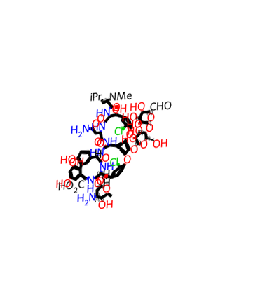 CN[C@H](CC(C)C)C(=O)NC1C(=O)NC(CC(N)=O)C(=O)NC2C(=O)N[C@H]3C(=O)N[C@H](C(=O)NC(C(=O)O)c4cc(O)cc(O)c4-c4cc3ccc4O)[C@H](O[C@H]3C[C@](C)(N)[C@@H](O)C(C)O3)c3ccc(c(Cl)c3)Oc3cc2cc(c3O[C@@H]2O[C@H](CO)C(O[C@@H]3O[C@H](C=O)C(O)[C@H](O)C3O)[C@H](O)C2O)Oc2ccc(cc2Cl)C1O